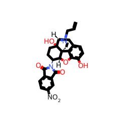 C=CCN1CC[C@]23c4c5ccc(O)c4O[C@H]2[C@H](N2C(=O)c4ccc([N+](=O)[O-])cc4C2=O)CCC3(O)[C@H]1C5